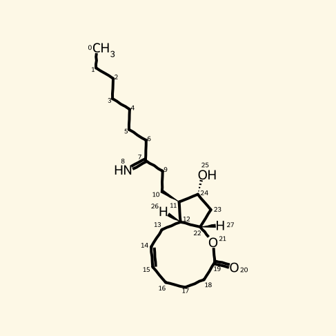 CCCCCCCC(=N)CC[C@@H]1[C@H]2C/C=C\CCCC(=O)O[C@H]2C[C@H]1O